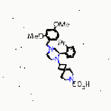 COc1ccc(CN2CCN(C3CC4(CCN(C(=O)O)CC4)C3)C(c3ccccc3C(C)C)C2)c(OC)c1